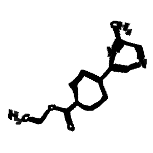 CCOC(=O)C1CC=C(c2cncc(C)n2)CC1